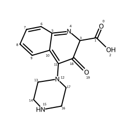 O=C(O)C1N=c2ccccc2=C(N2CCNCC2)C1=O